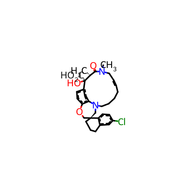 C[C@@H]1C(=O)N(C)C/C=C/CCCCN2C[C@@]3(CCCc4cc(Cl)ccc43)COc3ccc(cc32)[C@]1(O)C(=O)O